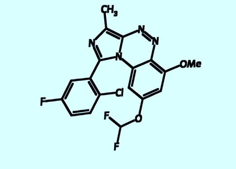 COc1cc(OC(F)F)cc2c1nnc1c(C)nc(-c3cc(F)ccc3Cl)n12